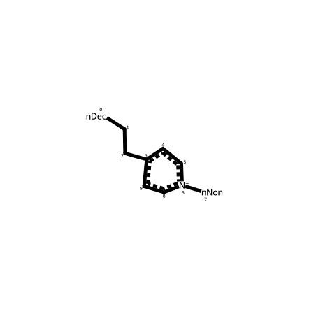 CCCCCCCCCCCCc1cc[n+](CCCCCCCCC)cc1